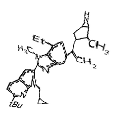 C=C(c1cc(CC)c2c(c1)nc(-c1cc3ccc(C(C)(C)C)nc3n1CC1CC1)n2C)C1CC2NC2C1C